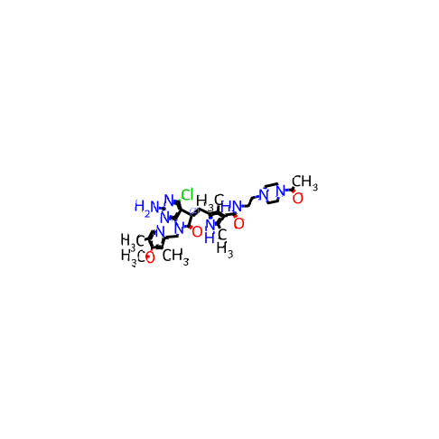 COc1c(C)cnc(CN2C(=O)/C(=C\c3[nH]c(C)c(C(=O)NCCN4CCN(C(C)=O)CC4)c3C)c3c(Cl)nc(N)nc32)c1C